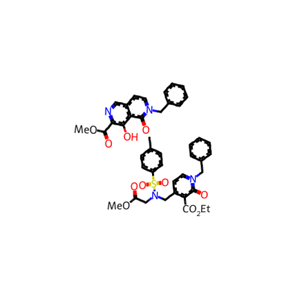 CCOC(=O)c1c(CN(CC(=O)OC)S(=O)(=O)c2ccc(C)cc2)ccn(Cc2ccccc2)c1=O.COC(=O)c1ncc2ccn(Cc3ccccc3)c(=O)c2c1O